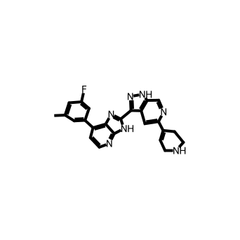 Cc1cc(F)cc(-c2ccnc3[nH]c(-c4n[nH]c5cnc(C6=CCNCC6)cc45)nc23)c1